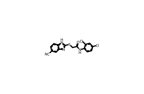 N#Cc1ccc2[nH]c(SCC(=O)Nc3ccc(Cl)cc3Cl)nc2c1